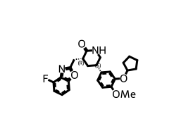 COc1ccc([C@H]2CNC(=O)[C@@H](Cc3nc4c(F)cccc4o3)C2)cc1OC1CCCC1